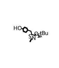 C=C1N=C(O[Si](C)(C)C(C)(C)C)C(Cc2ccc(O)cc2)S1